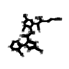 CSCCC(N)C(=O)c1cc(Cl)cc(C)c1NC(=O)c1cc(Br)nn1-c1ncccc1Cl